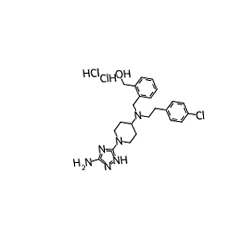 Cl.Cl.Nc1n[nH]c(N2CCC(N(CCc3ccc(Cl)cc3)Cc3ccccc3CO)CC2)n1